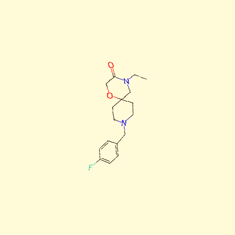 CCN1CC2(CCN(Cc3ccc(F)cc3)CC2)OCC1=O